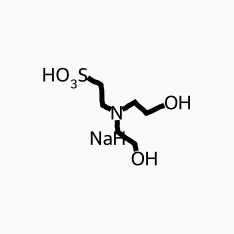 O=S(=O)(O)CCN(CCO)CCO.[NaH]